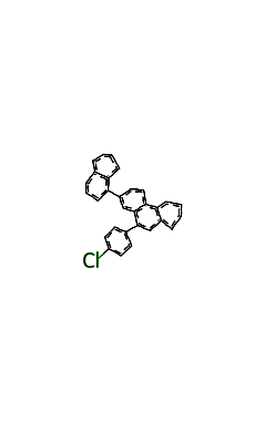 Clc1ccc(-c2cc3ccccc3c3ccc(-c4cccc5ccccc45)cc23)cc1